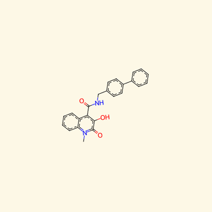 Cn1c(=O)c(O)c(C(=O)NCc2ccc(-c3ccccc3)cc2)c2ccccc21